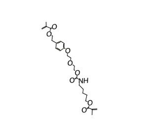 C=C(C)C(=O)OCCCCCNC(=O)OCCOCCOc1ccc(CCOC(=O)C(=C)C)cc1